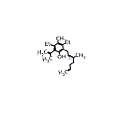 C=CCC/C(C)=C/Cc1c(O)c(C(=C)C)c(CC)c(C)c1CC